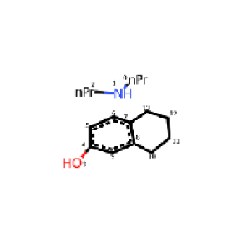 CCCNCCC.Oc1ccc2c(c1)CCCC2